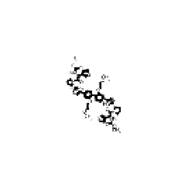 COCCOc1cc(-c2cnc([C@@H]3CCCN3C(=O)[C@H](NC(=O)OC)c3ccsc3)[nH]2)ccc1-c1ccc(-c2cnc([C@@H]3CCCN3C(=O)[C@H](NC(=O)OC)c3ccsc3)[nH]2)cc1OCCOC